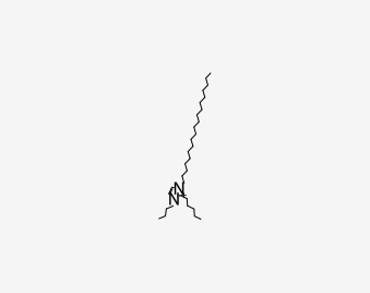 CCCCCCCCCCCCCCCCCCCn1cc[n+](CCCC)c1CCCCC